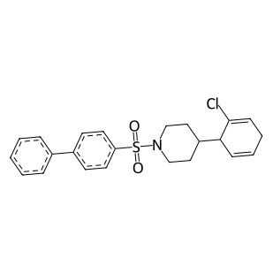 O=S(=O)(c1ccc(-c2ccccc2)cc1)N1CCC(C2C=CCC=C2Cl)CC1